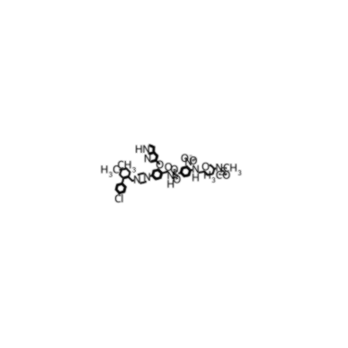 CC1(C)CCC(CN2CCN(c3ccc(C(=O)NS(=O)(=O)c4ccc(NCC5CCC(N=S(C)(C)=O)CO5)c([N+](=O)[O-])c4)c(Oc4cnc5[nH]ccc5c4)c3)CC2)=C(c2ccc(Cl)cc2)C1